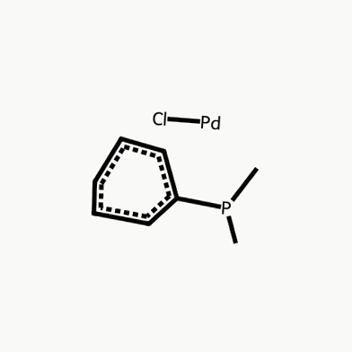 CP(C)c1ccccc1.[Cl][Pd]